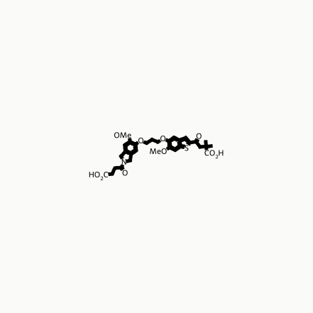 COc1cc2c(cc1OCCCOc1cc3cc(C(=O)CC(C)(C)C(=O)O)sc3cc1OC)CN(C(=O)CCC(=O)O)C2